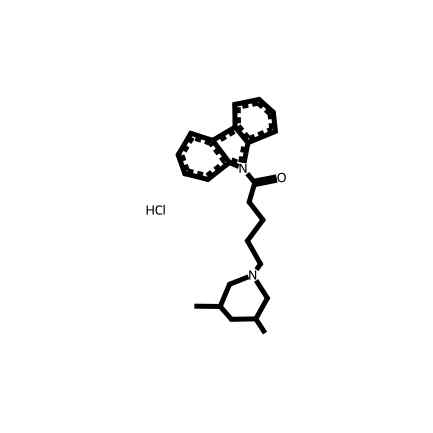 CC1CC(C)CN(CCCCC(=O)n2c3ccccc3c3ccccc32)C1.Cl